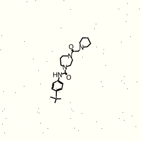 CC(C)(C)c1ccc(NC(=O)N2CCCN(C(=O)CN3CCCCC3)CC2)cc1